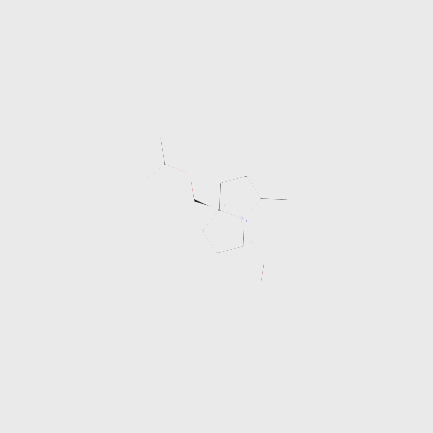 CC(C)OC[C@@]12CCC(C)N1[C@H](CO)CC2